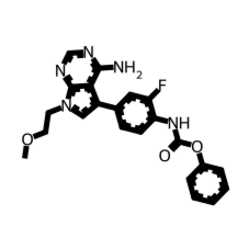 COCCn1cc(-c2ccc(NC(=O)Oc3ccccc3)c(F)c2)c2c(N)ncnc21